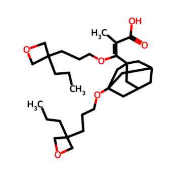 CCCC1(CCCOC(=C(C)C(=O)O)C23CC4CC(CC(OCCCC5(CCC)COC5)(C4)C2)C3)COC1